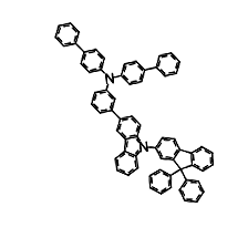 c1ccc(-c2ccc(N(c3ccc(-c4ccccc4)cc3)c3cccc(-c4ccc5c(c4)c4ccccc4n5-c4ccc5c(c4)C(c4ccccc4)(c4ccccc4)c4ccccc4-5)c3)cc2)cc1